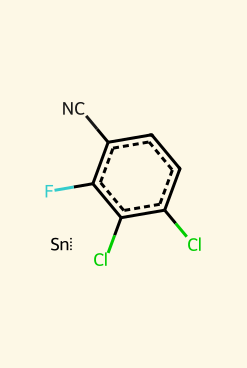 N#Cc1ccc(Cl)c(Cl)c1F.[Sn]